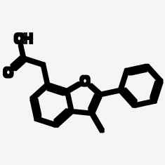 Cc1c(-c2ccccc2)oc2c(CC(=O)O)cccc12